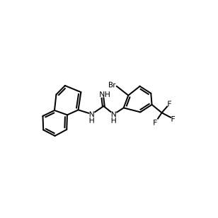 N=C(Nc1cc(C(F)(F)F)ccc1Br)Nc1cccc2ccccc12